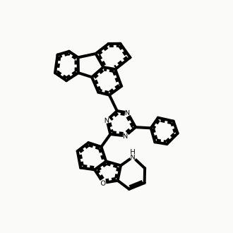 C1=Cc2oc3cccc(-c4nc(-c5ccccc5)nc(-c5cc6c7c(cccc7c5)-c5ccccc5-6)n4)c3c2NC1